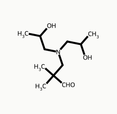 CC(O)CN(CC(C)O)CC(C)(C)C=O